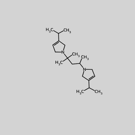 CC(C)C1=CCN(C(C)CC(C)(C)N2CC=C(C(C)C)C2)C1